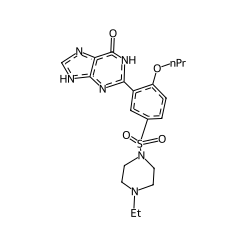 CCCOc1ccc(S(=O)(=O)N2CCN(CC)CC2)cc1-c1nc2[nH]cnc2c(=O)[nH]1